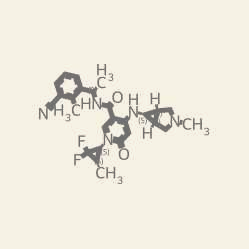 Cc1c(C#N)cccc1[C@@H](C)NC(=O)c1cn([C@H]2[C@H](C)C2(F)F)c(=O)cc1N[C@H]1[C@@H]2CN(C)C[C@@H]21